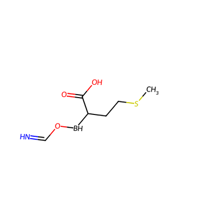 CSCCC(BOC=N)C(=O)O